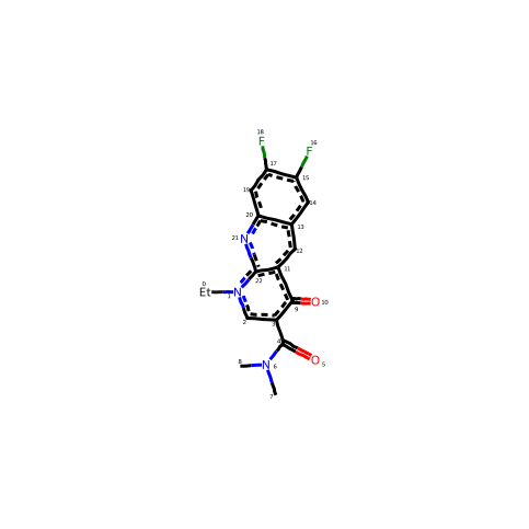 CCn1cc(C(=O)N(C)C)c(=O)c2cc3cc(F)c(F)cc3nc21